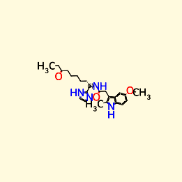 CCC(=O)CCCCC[C@H](NC(=O)Cc1c(C)[nH]c2ccc(OC)cc12)c1ncc[nH]1